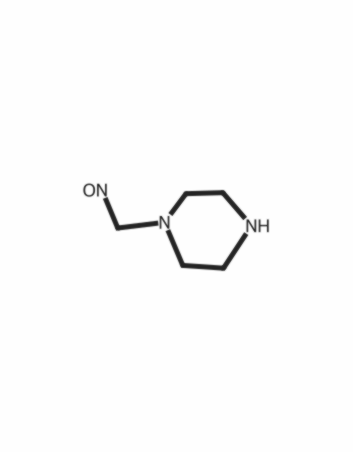 O=NCN1CCNCC1